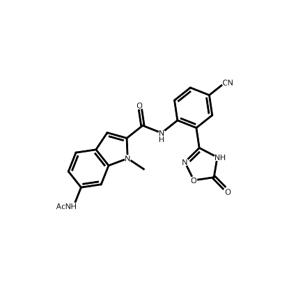 CC(=O)Nc1ccc2cc(C(=O)Nc3ccc(C#N)cc3-c3noc(=O)[nH]3)n(C)c2c1